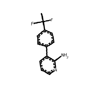 CC(F)(F)c1ccc(-c2cccnc2N)cc1